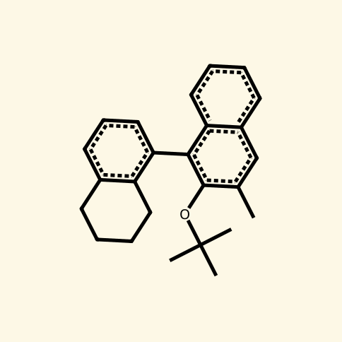 Cc1cc2ccccc2c(-c2cccc3c2CCCC3)c1OC(C)(C)C